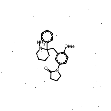 COc1ccc(N2CCCC2=O)cc1CC1(c2ccccc2)CCCCN1N